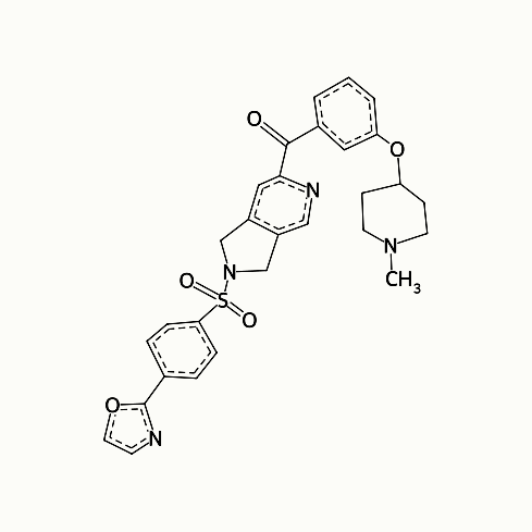 CN1CCC(Oc2cccc(C(=O)c3cc4c(cn3)CN(S(=O)(=O)c3ccc(-c5ncco5)cc3)C4)c2)CC1